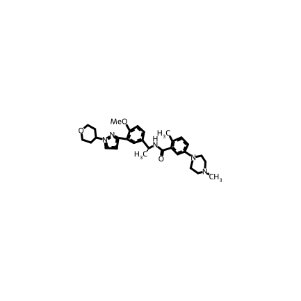 COc1ccc([C@@H](C)NC(=O)c2cc(N3CCN(C)CC3)ccc2C)cc1-c1ccn(C2CCOCC2)n1